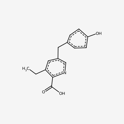 CCc1cc(Cc2ccc(O)cc2)cnc1C(=O)O